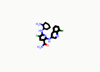 NC(=O)c1cc(F)c(NC2CCCCC2N)nc1Nc1cnc2c(F)cccc2c1